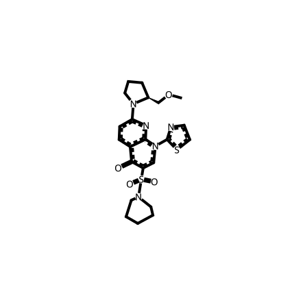 COC[C@@H]1CCCN1c1ccc2c(=O)c(S(=O)(=O)N3CCCCC3)cn(-c3nccs3)c2n1